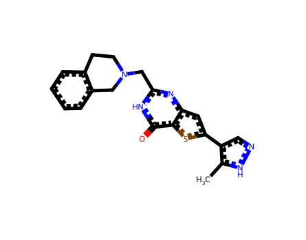 Cc1[nH]ncc1-c1cc2nc(CN3CCc4ccccc4C3)[nH]c(=O)c2s1